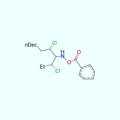 CCCCCCCCCCCC(Cl)C(NOC(=O)c1ccccc1)C(Cl)CC